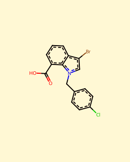 O=C(O)c1cccc2c(Br)cn(Cc3ccc(Cl)cc3)c12